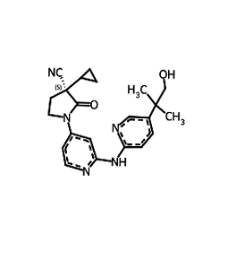 CC(C)(CO)c1ccc(Nc2cc(N3CC[C@@](C#N)(C4CC4)C3=O)ccn2)nc1